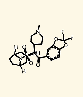 CN1CCC(CS(=O)(=O)N2[C@@H]3CC[C@H]2C[C@H](NC(=O)c2ccc4c(c2)OC(F)(F)O4)C3)CC1